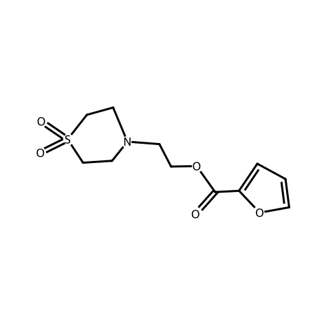 O=C(OCCN1CCS(=O)(=O)CC1)c1ccco1